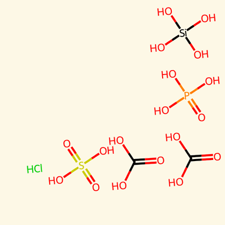 Cl.O=C(O)O.O=C(O)O.O=P(O)(O)O.O=S(=O)(O)O.O[Si](O)(O)O